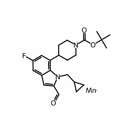 CC(C)(C)OC(=O)N1CCC(c2cc(F)cc3cc(C=O)n(CC4CC4)c23)CC1.[Mn]